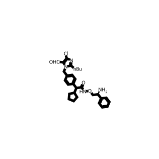 CCCCc1nc(Cl)c(C=O)n1Cc1ccc(C(C(=O)NOC[C@@H](N)c2ccccc2)C2CCCC2)cc1